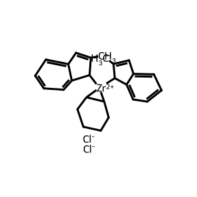 CC1=Cc2ccccc2[CH]1[Zr+2]1([CH]2C(C)=Cc3ccccc32)[CH]2CCCC[CH]21.[Cl-].[Cl-]